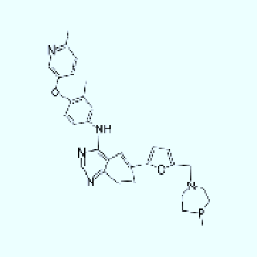 Cc1ccc(Oc2ccc(Nc3ncnc4ccc(-c5ccc(CN6CCP(C)CC6)o5)cc34)cc2C)cn1